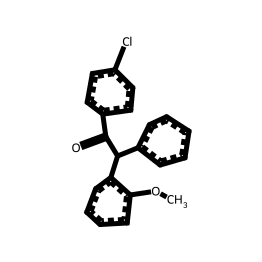 COc1ccccc1C(C(=O)c1ccc(Cl)cc1)c1ccccc1